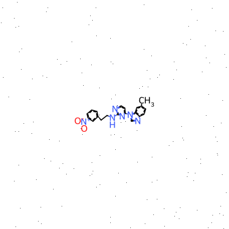 Cc1ccc2ncn(-c3ccnc(NCCc4cccc([N+](=O)[O-])c4)n3)c2c1